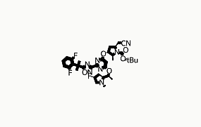 C[C@H](Oc1cc(O[C@@H]2C[C@@H](CC#N)N(C(=O)OC(C)(C)C)[C@H]2C)nc(-c2noc(C(C)(C)c3c(F)cccc3F)n2)n1)[C@@H]1C[C@@H](F)CN1C